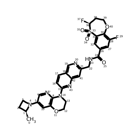 C[C@H]1CCN1c1cnc2c(c1)OCCN2c1ccc2cnc(CNC(=O)c3cc(F)c4c(c3)S(=O)(=O)[C@@H](F)CCO4)cc2n1